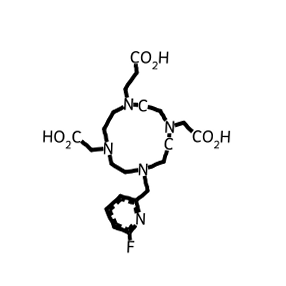 O=C(O)CCN1CCN(CC(=O)O)CCN(Cc2cccc(F)n2)CCN(CC(=O)O)CC1